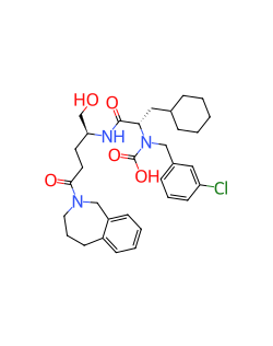 O=C(N[C@H](CO)CCC(=O)N1CCCc2ccccc2C1)[C@H](CC1CCCCC1)N(Cc1cccc(Cl)c1)C(=O)O